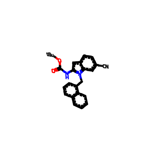 CC(C)(C)OC(=O)Nc1cc2ccc(C#N)cc2n1Cc1cccc2ccccc12